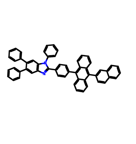 c1ccc(-c2cc3nc(-c4ccc(-c5c6ccccc6c(-c6ccc7ccccc7c6)c6ccccc56)cc4)n(-c4ccccc4)c3cc2-c2ccccc2)cc1